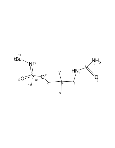 CC(C)(CNC(N)=O)COS(C)(=O)=NC(C)(C)C